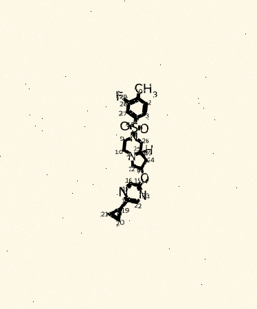 Cc1ccc(S(=O)(=O)N2CCN3C[C@H](Oc4cnc(C5CC5)cn4)C[C@H]3C2)cc1F